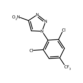 O=[N+]([O-])c1cn(-c2c(Cl)cc(C(F)(F)F)cc2Cl)nn1